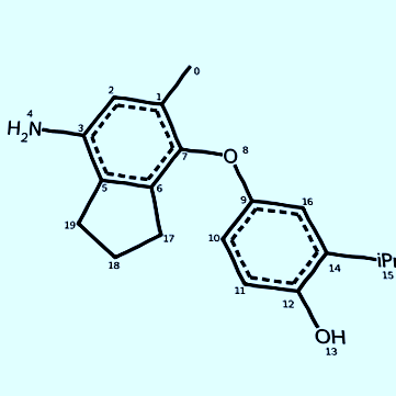 Cc1cc(N)c2c(c1Oc1ccc(O)c(C(C)C)c1)CCC2